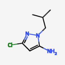 CC(C)Cn1nc(Cl)cc1N